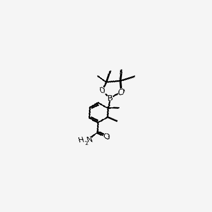 CC1C(C(N)=O)=CC=CC1(C)B1OC(C)(C)C(C)(C)O1